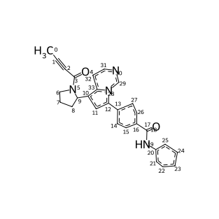 CC#CC(=O)N1CCCC1c1cc(-c2ccc(C(=O)Nc3ccccc3)cc2)n2cnccc12